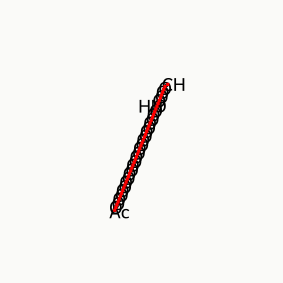 C#CCOCCOCCOCCOCCC(=O)NCCOCCOCCOCCOCCOCCOCCOCCOCCOCCOCCOCCOCCOCCOCCOCCOCCOCCOCCOCCOCCOCCOCCOCCOCCC(C)=O